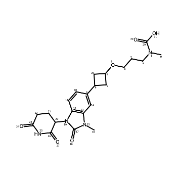 CN(CCCOC1CC(c2ccc3c(c2)n(C)c(=O)n3C2CCC(=O)NC2=O)C1)C(=O)O